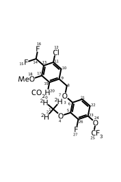 [2H]C([2H])([2H])Oc1c(OCc2cc(Cl)c(C(F)F)c(OC)c2C(=O)O)ccc(OC(F)(F)F)c1F